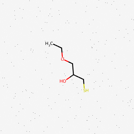 CCOCC(O)CS